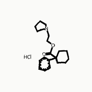 Cl.O=C(OCCN1CCCC1)C1(c2ccccc2)CCCCC1